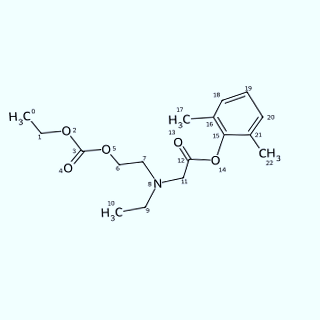 CCOC(=O)OCCN(CC)CC(=O)Oc1c(C)cccc1C